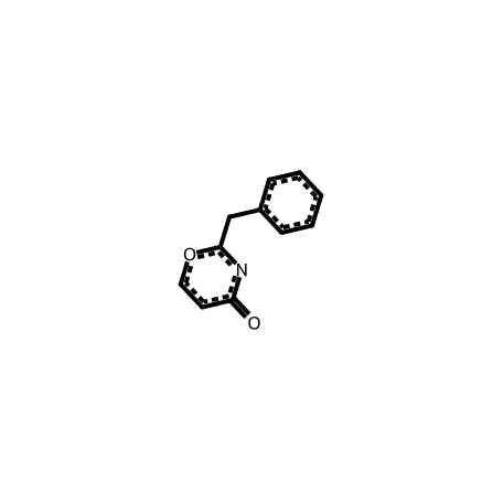 O=c1ccoc(Cc2ccccc2)n1